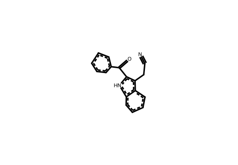 N#CCc1c(C(=O)c2ccccc2)[nH]c2ccccc12